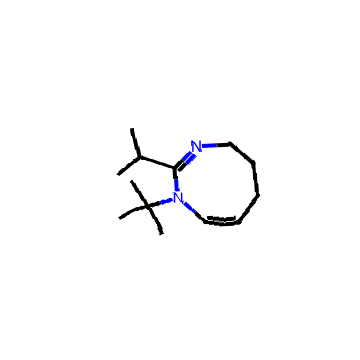 CC(C)/C1=N/CCC/C=C\N1C(C)(C)C